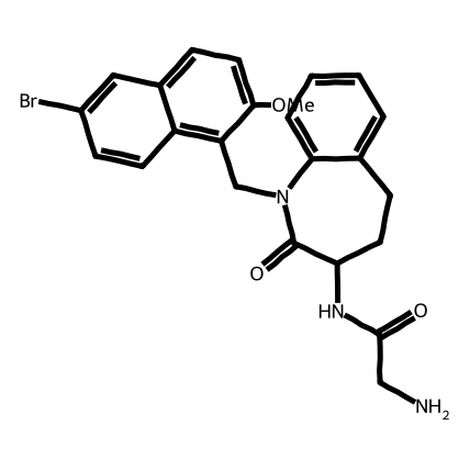 COc1ccc2cc(Br)ccc2c1CN1C(=O)C(NC(=O)CN)CCc2ccccc21